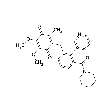 COC1=C(OC)C(=O)C(Cc2cccc(C(=O)N3CCCCC3)c2-c2cccnc2)=C(C)C1=O